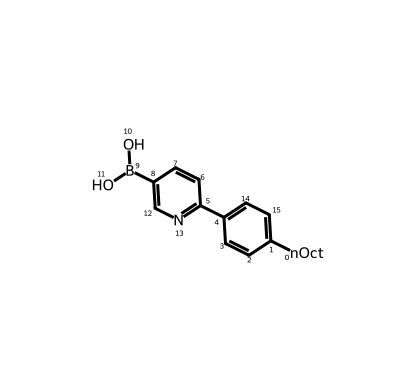 CCCCCCCCc1ccc(-c2ccc(B(O)O)cn2)cc1